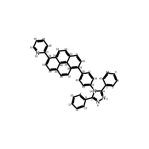 c1ccc(-c2nnc(-c3ccccc3)n2-c2ccc(-c3ccc4ccc5c(-c6ccccn6)ccc6ccc3c4c65)cc2)cc1